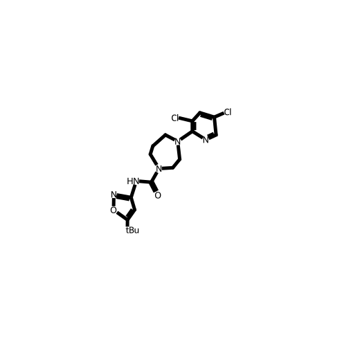 CC(C)(C)c1cc(NC(=O)N2CCCN(c3ncc(Cl)cc3Cl)CC2)no1